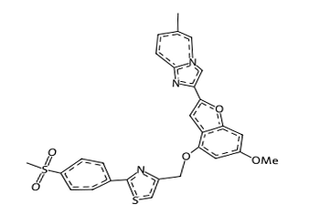 COc1cc(OCc2csc(-c3ccc(S(C)(=O)=O)cc3)n2)c2cc(-c3cn4cc(C)ccc4n3)oc2c1